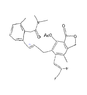 CC(=O)Oc1c(C/C=C/c2cccc(C)c2C(=O)N(C)C)c(C=C(F)F)c(C)c2c1C(=O)OC2